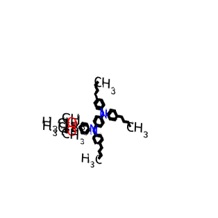 CCCCc1ccc(N(c2ccc(CCCC)cc2)c2ccc(N(c3ccc(CCCC)cc3)c3ccc(B4OC(C)(C)C(C)(C)O4)cc3)cc2)cc1